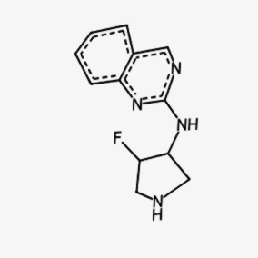 FC1CNCC1Nc1ncc2ccccc2n1